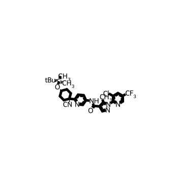 Cc1c(C(=O)Nc2ccc([C@]3(C#N)CC[C@@H](O[Si](C)(C)C(C)(C)C)CC3)nc2)cnn1-c1ncc(C(F)(F)F)cc1Cl